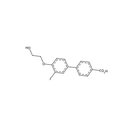 O=C(O)c1ccc(-c2ccc(OCCO)c(I)c2)cc1